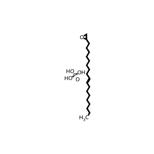 CCCCCCCCC=CCCCCCCCCC1CO1.O=P(O)(O)O